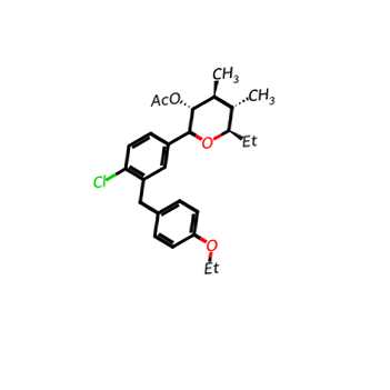 CCOc1ccc(Cc2cc(C3O[C@H](CC)[C@@H](C)[C@H](C)[C@H]3OC(C)=O)ccc2Cl)cc1